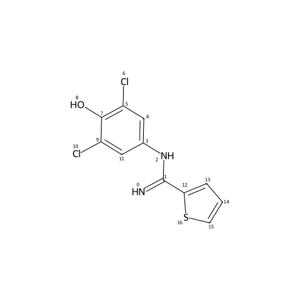 N=C(Nc1cc(Cl)c(O)c(Cl)c1)c1cccs1